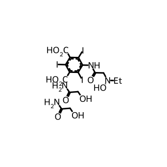 CCN(O)CC(=O)Nc1c(I)c(C(=O)O)c(I)c(C(=O)O)c1I.NC(=O)CO.NC(=O)CO